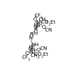 CCOC(=O)C1=C(C)N(c2cccc(C(F)(F)F)c2)C(=O)N(CC(=O)NCCCN2CCN(CCCNC(=O)CN3C(=O)N(c4cccc(C(F)(F)F)c4)C(C)=C(C(=O)OCC)C3c3ccc(C#N)cc3)CC2)C1c1ccc(C#N)cc1